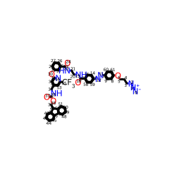 [N-]=[N+]=NCCCOc1ccc(/N=N/c2ccc(C(=O)NCCNC(=O)c3cccc(Oc4cc(CNC(=O)OCC5c6ccccc6-c6ccccc65)cc(C(F)(F)F)n4)c3)cc2)cc1